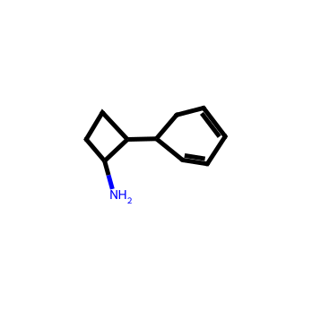 NC1CCC1C1C=CC=CC1